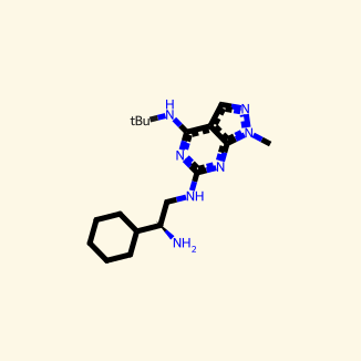 Cn1ncc2c(NC(C)(C)C)nc(NC[C@@H](N)C3CCCCC3)nc21